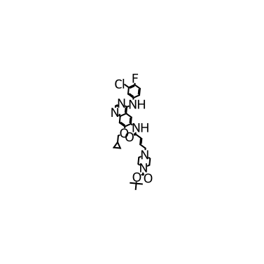 CC(C)(C)OC(=O)N1CCN(CC=CC(=O)Nc2cc3c(Nc4ccc(F)c(Cl)c4)ncnc3cc2OCC2CC2)CC1